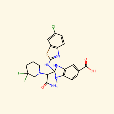 CN1c2ccc(C(=O)O)cc2NC1(Nc1nc2ccc(Cl)cc2s1)C(C(N)=O)N1CCCC(F)(F)C1